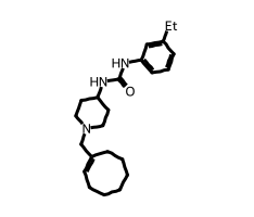 CCc1cccc(NC(=O)NC2CCN(C/C3=C/CCCCCC3)CC2)c1